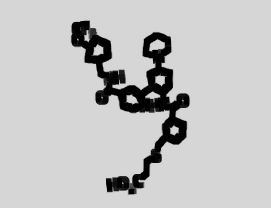 O=C(O)CCSCc1cccc(C(=O)Nc2ccc(N3CCCCC3)cc2-c2cc(C(=O)NCc3cccc(OC(F)(F)F)c3)ccn2)c1